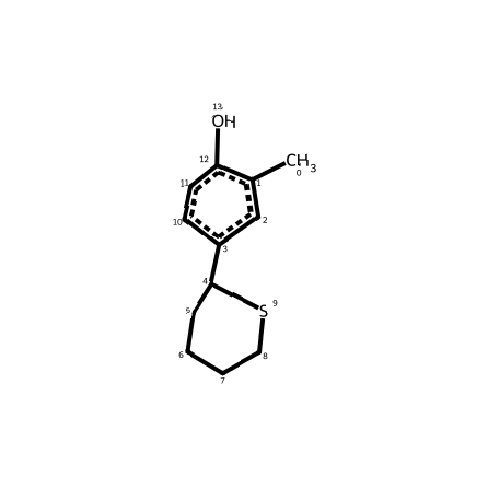 Cc1cc(C2CCCCS2)ccc1O